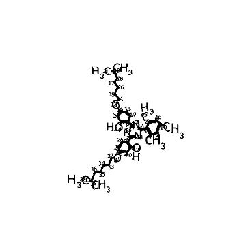 Cc1cc(C)c(-c2nc(-c3ccc(OCCCCCC(C)C)cc3O)nc(-c3ccc(OCCCCCC(C)C)cc3O)n2)c(C)c1